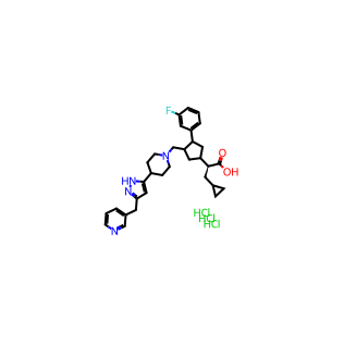 Cl.Cl.Cl.O=C(O)[C@@H](CC1CC1)C1CC(CN2CCC(c3cc(Cc4cccnc4)n[nH]3)CC2)C(c2cccc(F)c2)C1